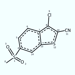 CS(=O)(=O)c1ccc2c(Cl)c(C#N)sc2c1